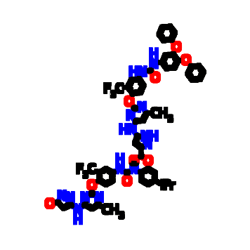 Cc1cc(NC2=CC(=O)N=N2)nc(Oc2ccc(NC(=O)N(OC(=O)c3cc(Nc4cc(C)nc(Oc5ccc(NC(=O)Nc6ccc(Oc7ccccc7)c(Oc7ccccc7)c6)cc5C(F)(F)F)n4)[nH]n3)c3ccc(C(C)C)cc3)cc2C(F)(F)F)n1